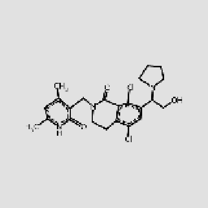 Cc1cc(C)c(CN2CCc3c(Cl)cc(C(CO)N4CCCC4)c(Cl)c3C2=O)c(=O)[nH]1